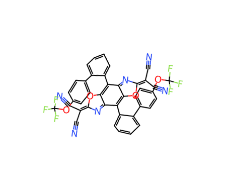 N#CC(C#N)=c1nc2c(-c3ccccc3-c3ccc(OC(F)(F)F)cc3)c3oc(=C(C#N)C#N)nc3c(-c3ccccc3-c3ccc(OC(F)(F)F)cc3)c2o1